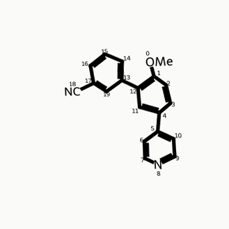 COc1ccc(-c2ccncc2)cc1-c1cccc(C#N)c1